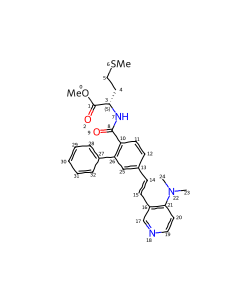 COC(=O)[C@H](CCSC)NC(=O)c1ccc(C=Cc2cnccc2N(C)C)cc1-c1ccccc1